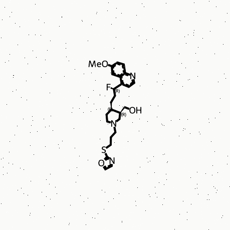 COc1ccc2nccc([C@H](F)CC[C@@H]3CCN(CCCSc4ncco4)C[C@@H]3CO)c2c1